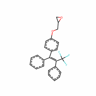 FC(F)(F)/C(=C(/c1ccccc1)c1ccc(OCC2CO2)cc1)c1ccccc1